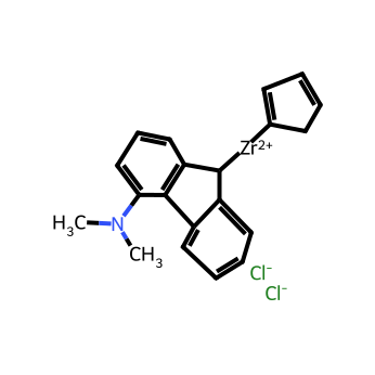 CN(C)c1cccc2c1-c1ccccc1[CH]2[Zr+2][C]1=CC=CC1.[Cl-].[Cl-]